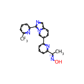 C/C(=N\O)c1cccc(-c2ccc3cnc(-c4cccc(C(F)(F)F)n4)n3c2)n1